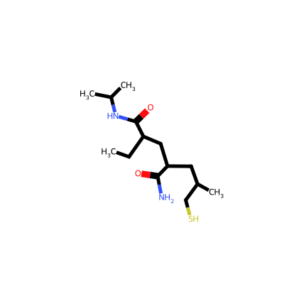 CCC(CC(CC(C)CS)C(N)=O)C(=O)NC(C)C